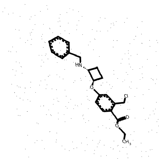 CCOC(=O)c1ccc(O[C@@H]2CC[C@H]2NCc2ccccc2)cc1CCl